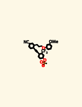 COc1cccc(OCCCc2cc(C#N)ccc2C#Cc2ccc(OS(C)(=O)=O)cc2C(F)(F)F)c1